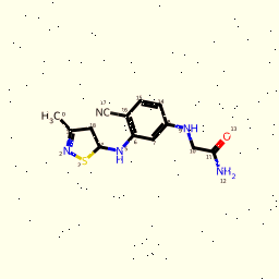 CC1=NSC(Nc2cc(NCC(N)=O)ccc2C#N)C1